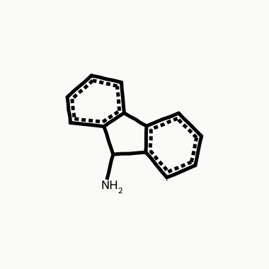 NC1c2[c]cccc2-c2ccccc21